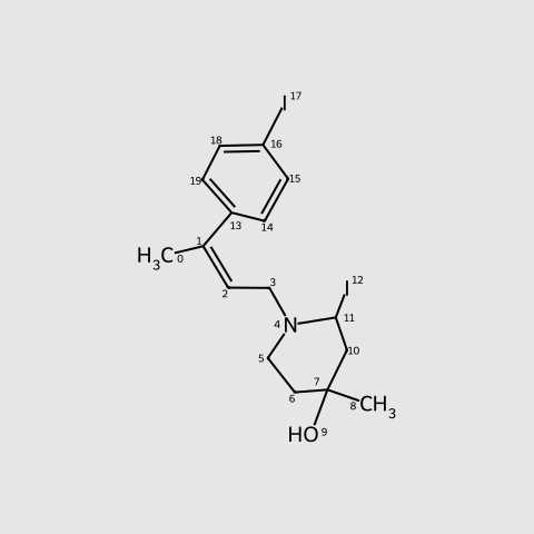 CC(=CCN1CCC(C)(O)CC1I)c1ccc(I)cc1